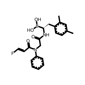 Cc1ccc(C[C@H](NC(=O)CN(C(=O)C=CF)c2ccccc2)B(O)O)c(C)c1